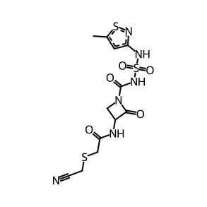 Cc1cc(NS(=O)(=O)NC(=O)N2CC(NC(=O)CSCC#N)C2=O)ns1